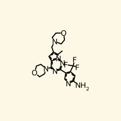 Cc1c(CN2CCOCC2)cc2c(N3CCOCC3)nc(-c3cnc(N)cc3C(F)(F)F)nn12